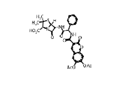 CC(=O)Oc1cc2cc(C(=O)NC(C(=O)N[C@@H]3C(=O)N4[C@@H]3SC(C)(C)[C@@H]4C(=O)O)c3ccccc3)c(=O)oc2cc1OC(C)=O